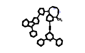 C=C1/C=C\C=C/CN(c2cccc(-c3ccc4c(c3)c3ccccc3n4-c3ccccc3)c2)c2ccc(C#Cc3cc(-c4ccccc4)nc(-c4ccccc4)c3)cc21